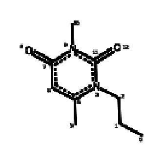 CCCn1c(C)cc(=O)n(C)c1=O